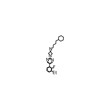 CCc1cccc(-c2cnc(N3CC(=NCCCCC4CCCCC4)C3)nc2)c1F